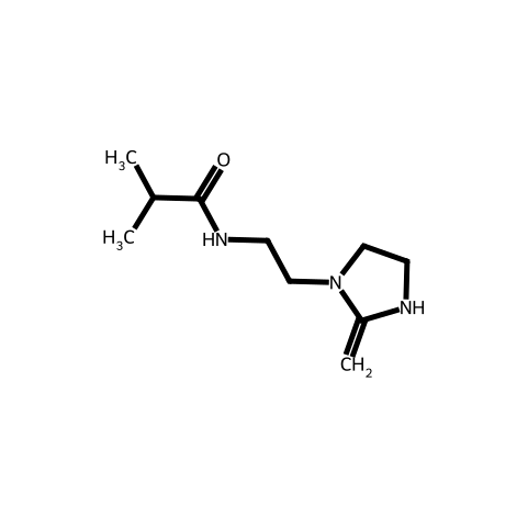 C=C1NCCN1CCNC(=O)C(C)C